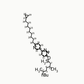 CCCCC(C)CCC(C)C[SiH2]Oc1ccc(-c2ccc(CCCCCCCCCC3CC3)nc2)nn1